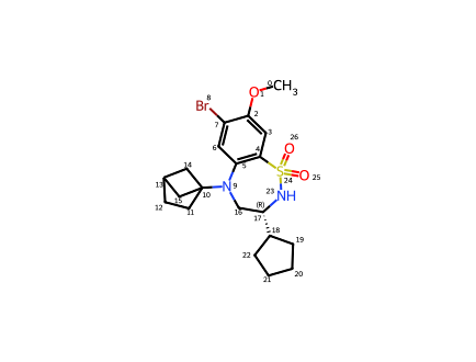 COc1cc2c(cc1Br)N(C13CCC(C1)C3)C[C@@H](C1CCCC1)NS2(=O)=O